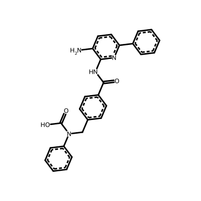 Nc1ccc(-c2ccccc2)nc1NC(=O)c1ccc(CN(C(=O)O)c2ccccc2)cc1